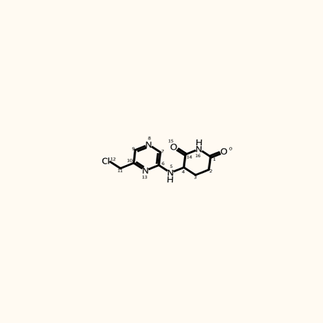 O=C1CCC(Nc2cncc(CCl)n2)C(=O)N1